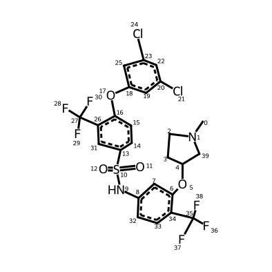 CN1CCC(Oc2cc(NS(=O)(=O)c3ccc(Oc4cc(Cl)cc(Cl)c4)c(C(F)(F)F)c3)ccc2C(F)(F)F)C1